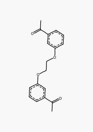 CC(=O)c1cccc(OCCOc2cccc(C(C)=O)c2)c1